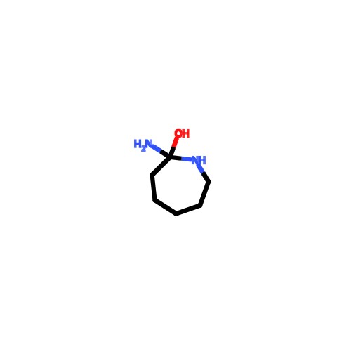 NC1(O)CCCCCN1